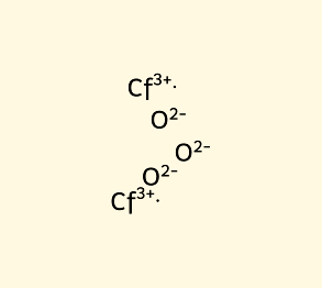 [Cf+3].[Cf+3].[O-2].[O-2].[O-2]